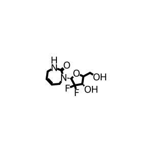 O=C1NCC=CCN1[C@@H]1OC(CO)[C@@H](O)C1(F)F